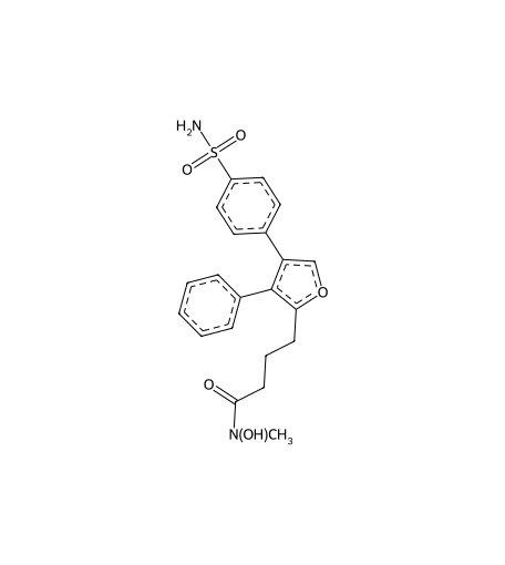 CN(O)C(=O)CCCc1occ(-c2ccc(S(N)(=O)=O)cc2)c1-c1ccccc1